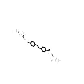 COC(COC(=O)c1ccc(C=Cc2ccc(C(=O)OCC(OC)OC)cc2)cc1)OC